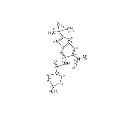 CN1CCN(C(=S)Nc2cc3nc(C(C)(C)C)oc3cc2[N+](=O)[O-])CC1